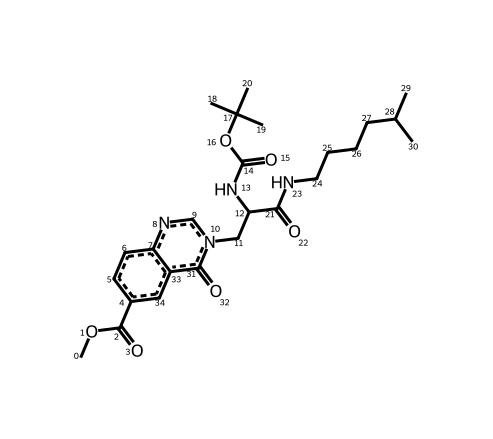 COC(=O)c1ccc2ncn(CC(NC(=O)OC(C)(C)C)C(=O)NCCCCC(C)C)c(=O)c2c1